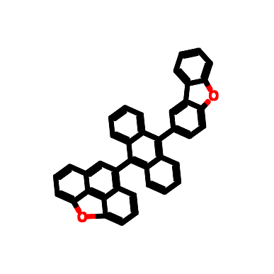 c1ccc2c(c1)oc1ccc(-c3c4ccccc4c(-c4cc5cccc6oc7cccc4c7c56)c4ccccc34)cc12